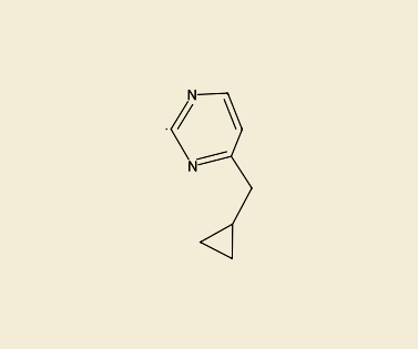 [c]1nccc(CC2CC2)n1